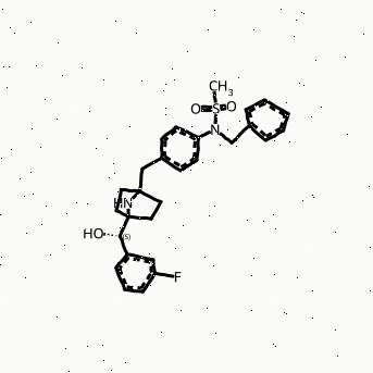 CS(=O)(=O)N(Cc1ccccc1)c1ccc(CC23CCC([C@@H](O)c4cccc(F)c4)(CC2)N3)cc1